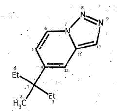 CCC(C)(CC)c1ccn2nncc2c1